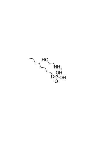 CCCCCCCCOP(=O)(O)O.NCCO